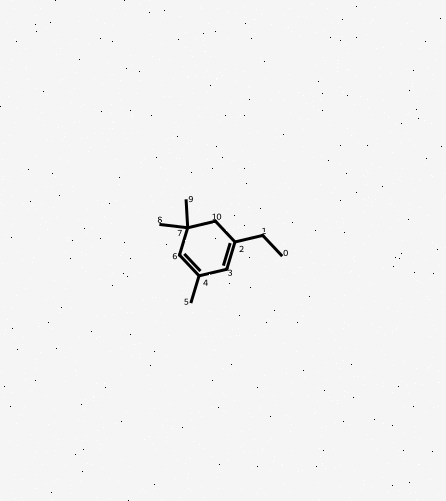 CCC1=CC(C)=CC(C)(C)C1